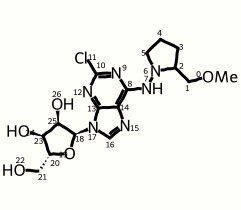 COCC1CCCN1Nc1nc(Cl)nc2c1ncn2[C@H]1O[C@H](CO)[C@@H](O)[C@H]1O